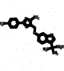 Cc1nn(-c2ccc(C(F)(F)F)cc2)nc1COc1ccc2c(C(C)(C)C(=O)O)coc2c1